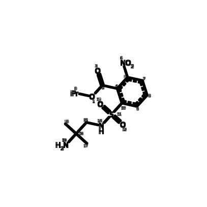 CC(C)OC(=O)c1c([N+](=O)[O-])cccc1S(=O)(=O)NCC(C)(C)N